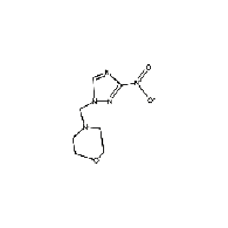 O=[N+]([O-])c1ncn(CN2CCOCC2)n1